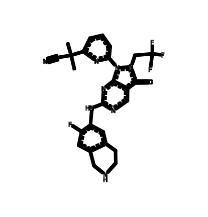 CC(C)(C#N)c1cccc(-n2c3nc(Nc4cc5c(cc4F)CNCC5)ncc3c(=O)n2CC(F)(F)F)n1